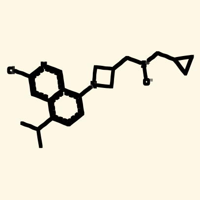 CC(C)c1ccc(N2CC(C[S+]([O-])CC3CC3)C2)c2cnc(Cl)cc12